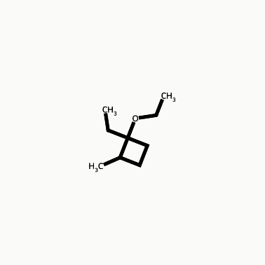 CCOC1(CC)CCC1C